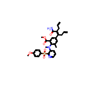 C=CCC(C(N)=O)=C(CC=C)c1cc(C)c(N(C)c2cccnc2S(=O)(=O)c2ccc(OC)cc2)c(C(=O)OC)c1